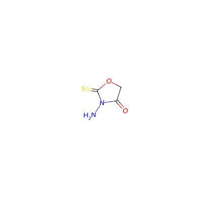 NN1C(=O)COC1=S